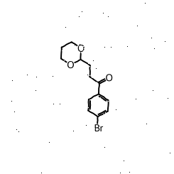 O=C(CCC1OCCCO1)c1ccc(Br)cc1